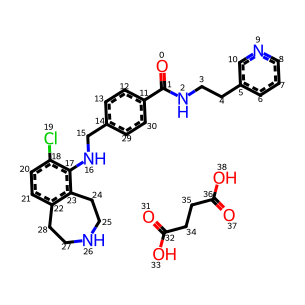 O=C(NCCc1cccnc1)c1ccc(CNc2c(Cl)ccc3c2CCNCC3)cc1.O=C(O)CCC(=O)O